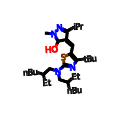 CCCCC(CC)CN(CC(CC)CCCC)c1nc(C(C)(C)C)c(/C=C2/C(C(C)C)=NN(C)C2O)s1